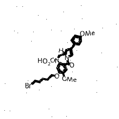 COc1ccc(C2=CN3C(=O)c4cc(OC)c(OCCCCCBr)cc4N(C(=O)O)C[C@@H]3C2)cc1